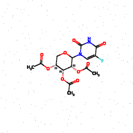 CC(=O)O[C@@H]1[C@H](OC(C)=O)COC(n2cc(F)c(=O)[nH]c2=O)[C@@H]1OC(C)=O